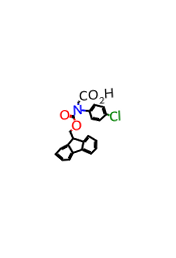 O=C(O)CN(C(=O)OCC1c2ccccc2-c2ccccc21)c1ccc(Cl)cc1